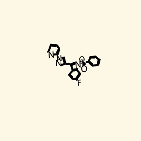 O=S(=O)(c1ccccc1)n1cc(-c2cnn(-c3ccccn3)c2)c2ccc(F)cc21